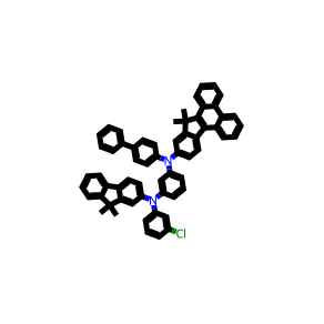 CC1(C)c2ccccc2-c2ccc(N(c3cccc(Cl)c3)c3cccc(N(c4ccc(-c5ccccc5)cc4)c4ccc5c(c4)C(C)(C)c4c-5c5ccccc5c5ccccc45)c3)cc21